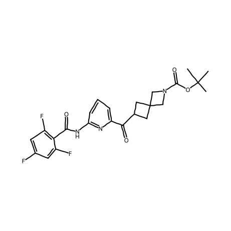 CC(C)(C)OC(=O)N1CC2(CC(C(=O)c3cccc(NC(=O)c4c(F)cc(F)cc4F)n3)C2)C1